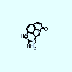 NC(=O)OC1Cn2c(=O)ccc3ccc(O)c1c32